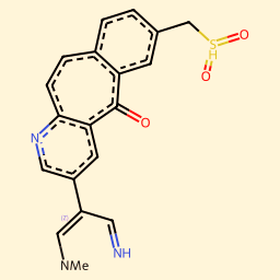 CN/C=C(\C=N)c1cnc2ccc3ccc(C[SH](=O)=O)cc3c(=O)c2c1